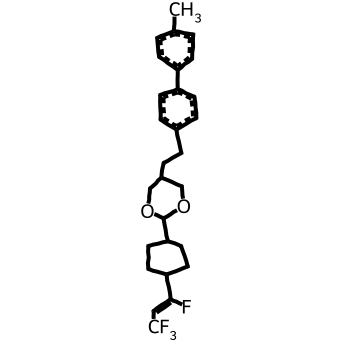 Cc1ccc(-c2ccc(CCC3COC(C4CCC(/C(F)=C/C(F)(F)F)CC4)OC3)cc2)cc1